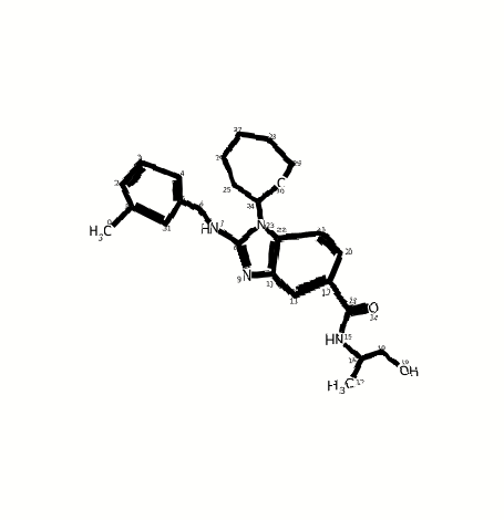 Cc1cccc(CNc2nc3cc(C(=O)NC(C)CO)ccc3n2C2CCCCCC2)c1